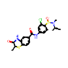 CC1Sc2ccc(C(=O)Nc3ccc([S+]([O-])N(C)C(C)C)c(Cl)c3)cc2NC1=O